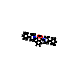 O=C(c1ccccc1C(=O)N1CCC(c2ccccc2)CC1)N1CCC(c2ccccc2)CC1